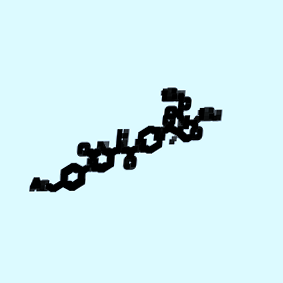 CC(=O)Cc1ccc(-n2ccc(NC(=O)N3CCN(C(=O)[C@]4(C)CO[C@H](C(C)(C)C)N4C(=O)OC(C)(C)C)CC3)nc2=O)cc1